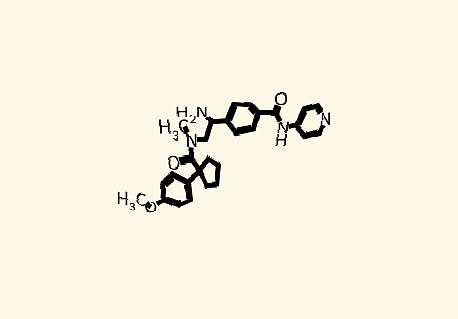 COc1ccc(C2(C(=O)N(C)CC(N)c3ccc(C(=O)Nc4ccncc4)cc3)CCCC2)cc1